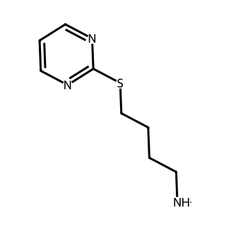 [NH]CCCCSc1ncccn1